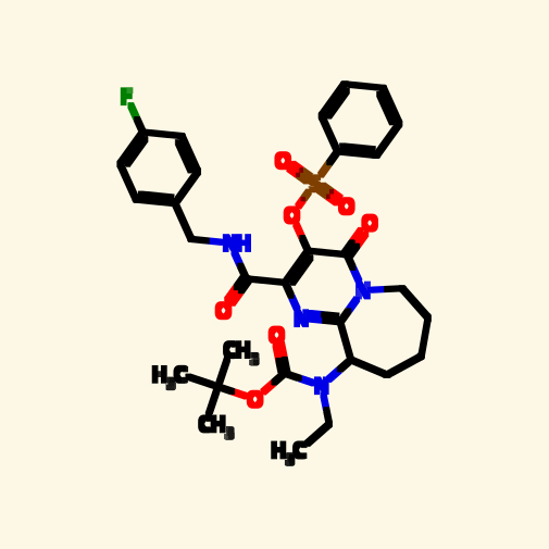 CCN(C(=O)OC(C)(C)C)C1CCCCn2c1nc(C(=O)NCc1ccc(F)cc1)c(OS(=O)(=O)c1ccccc1)c2=O